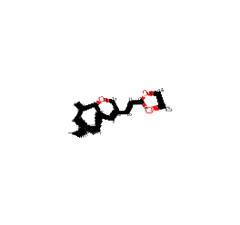 Cc1cc(C)c2c(c1)C=C(/C=C/C1OCCO1)CO2